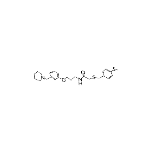 CSc1ccc(CSCC(=O)NCCCOc2cccc(CN3CCCCC3)c2)cc1